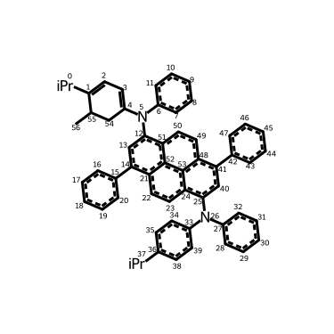 CC(C)C1=CC=C(N(c2ccccc2)c2cc(-c3ccccc3)c3ccc4c(N(c5ccccc5)c5ccc(C(C)C)cc5)cc(-c5ccccc5)c5ccc2c3c54)CC1C